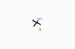 CC(C)(C)N.[Ti]